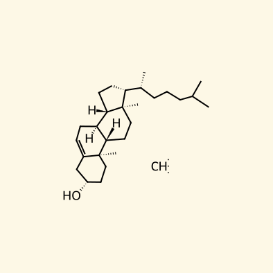 CC(C)CCC[C@@H](C)[C@H]1CC[C@H]2[C@@H]3CC=C4C[C@@H](O)CC[C@]4(C)[C@H]3CC[C@]12C.[CH]